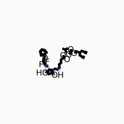 C#CCC(CC#C)COC(=O)OC(OC(=O)CCC/C=C\C[C@@H]1[C@@H](/C=C/C(F)(F)COc2ccccc2)[C@H](O)C[C@@H]1O)C(C)C